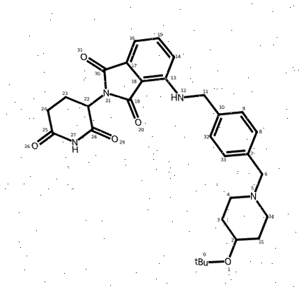 CC(C)(C)OC1CCN(Cc2ccc(CNc3cccc4c3C(=O)N(C3CCC(=O)NC3=O)C4=O)cc2)CC1